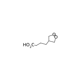 O=C(O)CCCC1COOC1